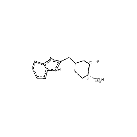 O=C(O)[C@@H]1CCC(Cc2nc3ccccc3[nH]2)C[C@@H]1F